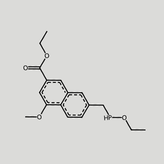 CCOPCc1ccc2c(OC)cc(C(=O)OCC)cc2c1